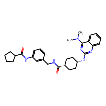 CN(C)c1nc(N[C@H]2CC[C@@H](C(=O)NCc3cccc(NC(=O)C4CCCC4)c3)CC2)nc2ccccc12